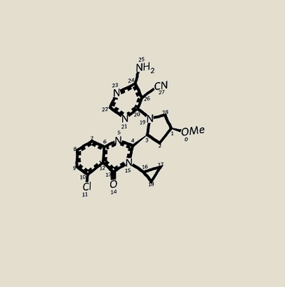 CO[C@H]1C[C@@H](c2nc3cccc(Cl)c3c(=O)n2C2CC2)N(c2ncnc(N)c2C#N)C1